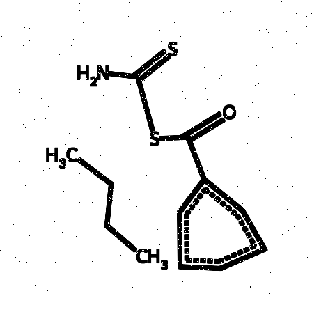 CCCC.NC(=S)SC(=O)c1ccccc1